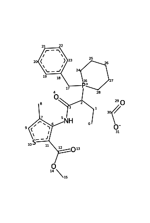 CCC(C(=O)Nc1c(C)csc1C(=O)OC)[P+]1(Cc2ccccc2)CCCCC1.O=C[O-]